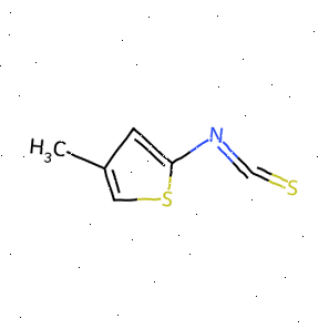 Cc1csc(N=C=S)c1